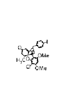 COc1cc(OC)c2c(c1Cl)O[C@]1(C2=O)C(OCc2ccc(I)cc2)=CC(=O)C[C@H]1C